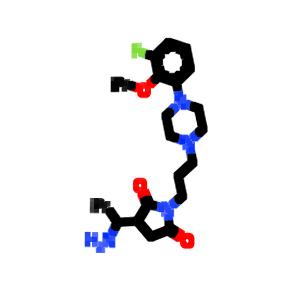 CC(C)Oc1c(F)cccc1N1CCN(CCCN2C(=O)CC(C(N)C(C)C)C2=O)CC1